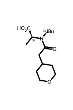 CC[C@H](C)N(C(=O)CC1CCOCC1)[C@@H](C)C(=O)O